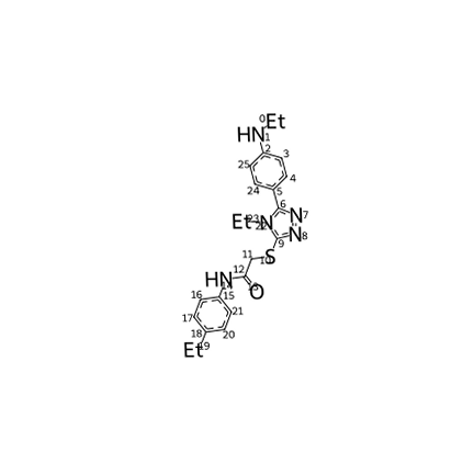 CCNc1ccc(-c2nnc(SCC(=O)Nc3ccc(CC)cc3)n2CC)cc1